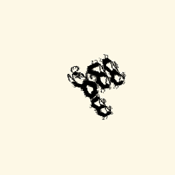 O=c1ncc2ccccc2[nH]1.c1cnc2ncccc2c1.c1cnc2ncccc2c1.c1cnc2ncccc2c1